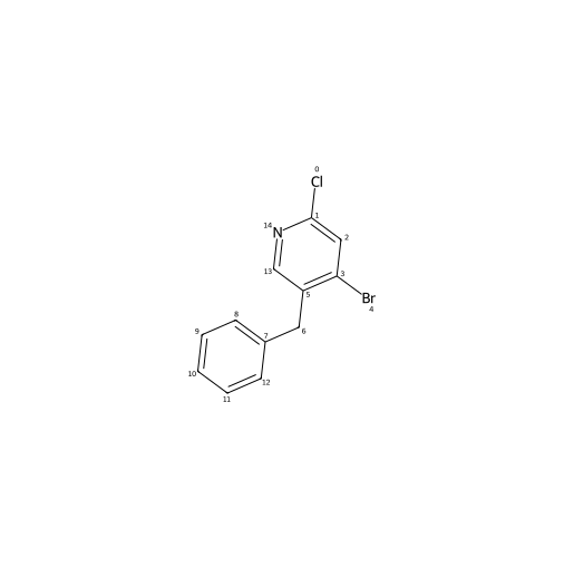 Clc1cc(Br)c(Cc2ccccc2)cn1